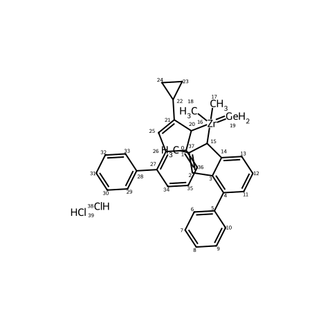 CC1=Cc2c(-c3ccccc3)cccc2[CH]1[Zr]([CH3])([CH3])(=[GeH2])[CH]1C(C2CC2)=Cc2c(-c3ccccc3)cccc21.Cl.Cl